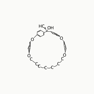 C#CC1(O)c2ccc(cc2)Oc2ccc(cc2)OCCCCCCCCCCCCOc2ccc(cc2)Oc2ccc1cc2